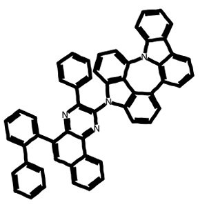 c1ccc(-c2ccccc2-c2cc3ccccc3c3nc(-n4c5cccc6c7cccc8c9ccccc9n(c9cccc4c9c65)c78)c(-c4ccccc4)nc23)cc1